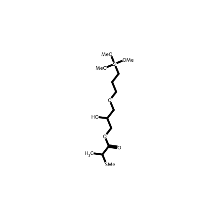 CO[Si](CCCOCC(O)COC(=O)C(C)SC)(OC)OC